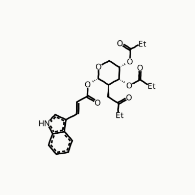 CCC(=O)C[C@H]1[C@H](OC(=O)/C=C/c2c[nH]c3ccccc23)OC[C@H](OC(=O)CC)[C@@H]1OC(=O)CC